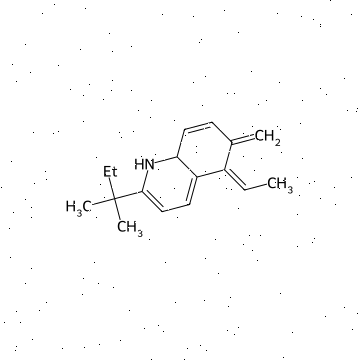 C=C1C=CC2NC(C(C)(C)CC)=CC=C2/C1=C/C